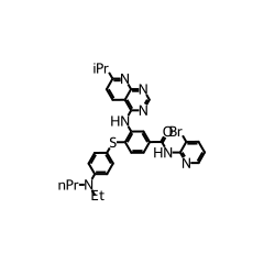 CCCN(CC)c1ccc(Sc2ccc(C(=O)Nc3ncccc3Br)cc2Nc2ncnc3nc(C(C)C)ccc23)cc1